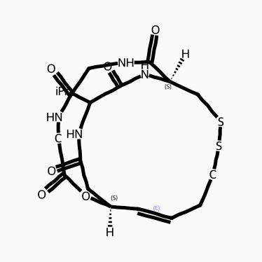 CC(C)C1NC(=O)C[C@H]2/C=C/CCSSC[C@@H](NC1=O)C(=O)NCC(=O)NCC(=O)O2